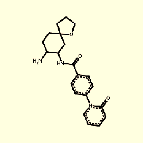 NC1CCC2(CCCO2)CC1NC(=O)c1ccc(-n2ccccc2=O)cc1